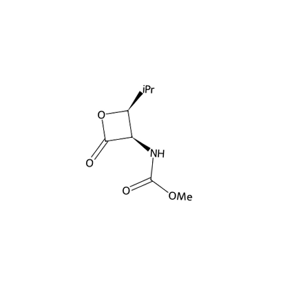 COC(=O)N[C@H]1C(=O)O[C@H]1C(C)C